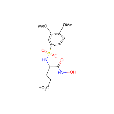 COc1ccc(S(=O)(=O)NC(CCC(=O)O)C(=O)NO)cc1OC